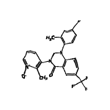 Cc1cc(F)ccc1N1CN(c2ccc[n+]([O-])c2C)C(=O)c2cc(C(F)(F)F)ccc21